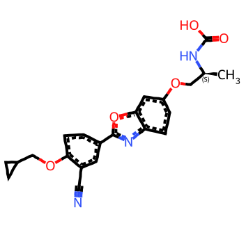 C[C@@H](COc1ccc2nc(-c3ccc(OCC4CC4)c(C#N)c3)oc2c1)NC(=O)O